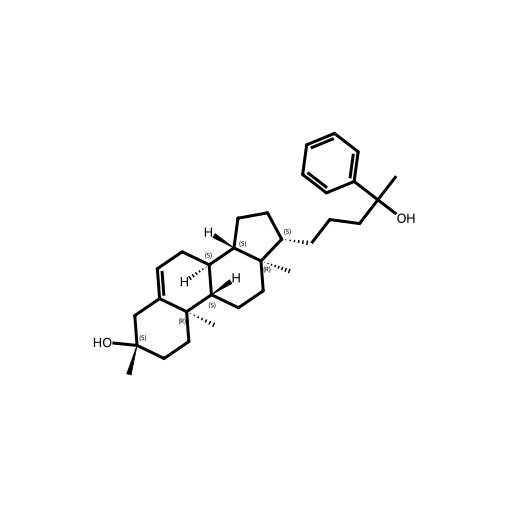 CC(O)(CCC[C@H]1CC[C@H]2[C@@H]3CC=C4C[C@@](C)(O)CC[C@]4(C)[C@H]3CC[C@]12C)c1ccccc1